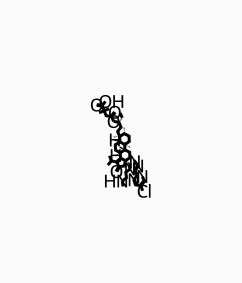 CC[C@H](CC[C@@]1(C)[C@H](C)CC[C@]2(C)[C@@H]1CC[C@@H]1C3=C(C(C)C)C(=O)C[C@]3(c3nnc(-c4ncc(Cl)cn4)n3CCNC)CC[C@]12C)OC(=O)CC(C)(C)C(=O)O